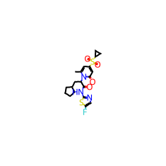 Cc1cc(S(=O)(=O)C2CC2)cc(=O)n1C(CC1CCCC1)C(=O)Nc1ncc(F)s1